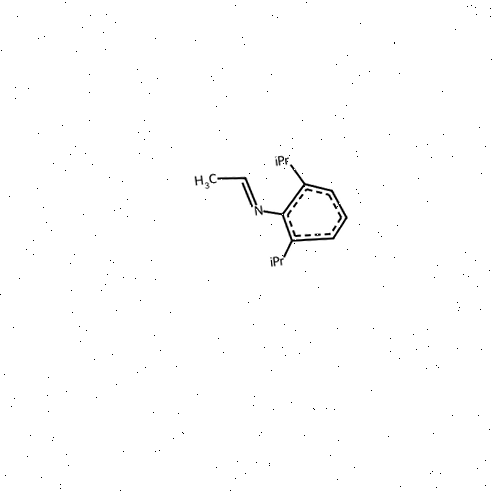 CC=Nc1c(C(C)C)cccc1C(C)C